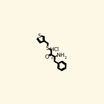 Cl.N[C@@H](Cc1ccccc1)C(=O)CSCc1ccsc1